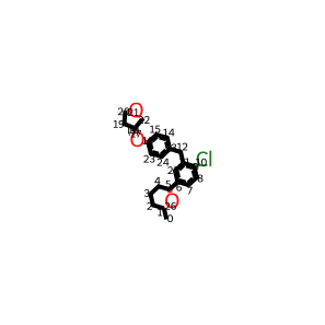 CC1CCCC(c2ccc(Cl)c(Cc3ccc(O[C@H]4CCOC4)cc3)c2)O1